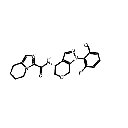 O=C(N[C@H]1COCc2c1cnn2-c1c(F)cccc1Cl)c1ncc2n1CCCC2